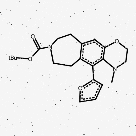 CN1CCOc2cc3c(c(-c4ccco4)c21)CCN(C(=O)OC(C)(C)C)CC3